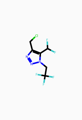 FC(F)c1c(CCl)nnn1CC(F)(F)F